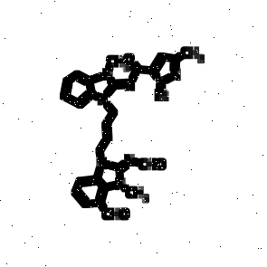 CCn1nc(C)cc1C(=O)/N=c1\n(C)c2ccccc2n1C/C=C/Cn1/c(=N/C=O)n(C)c2c(C=O)cccc21